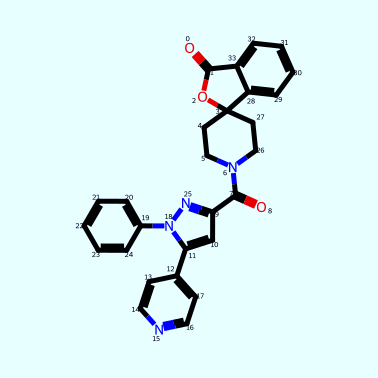 O=C1OC2(CCN(C(=O)c3cc(-c4ccncc4)n(-c4ccccc4)n3)CC2)c2ccccc21